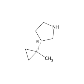 CC1([C@@H]2CCNC2)CC1